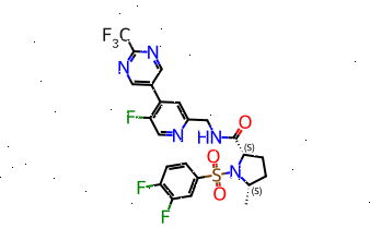 C[C@H]1CC[C@@H](C(=O)NCc2cc(-c3cnc(C(F)(F)F)nc3)c(F)cn2)N1S(=O)(=O)c1ccc(F)c(F)c1